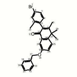 CC1=C(c2ccc(Br)cc2C)C(=O)c2cc(OCc3ccccc3)ccc2C1(C)C